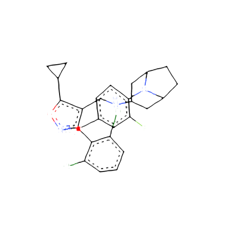 O=C(O)c1ccc(N2C3CCC2CC(NCc2c(-c4c(Cl)cccc4Cl)noc2C2CC2)C3)c(F)c1